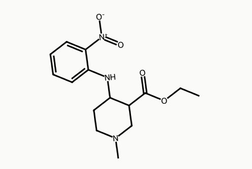 CCOC(=O)C1CN(C)CCC1Nc1ccccc1[N+](=O)[O-]